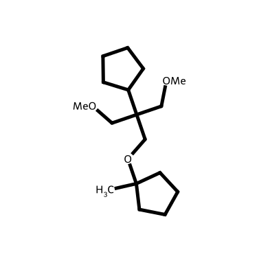 COCC(COC)(COC1(C)CCCC1)C1CCCC1